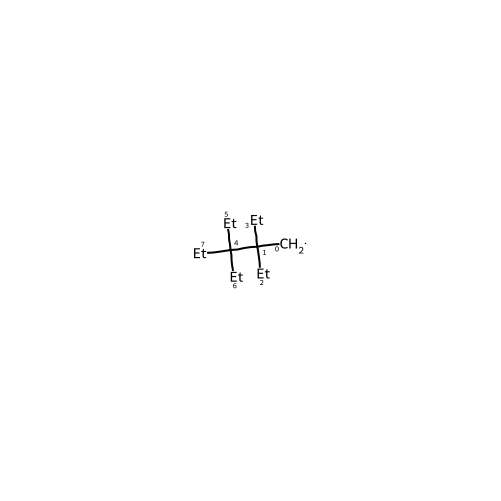 [CH2]C(CC)(CC)C(CC)(CC)CC